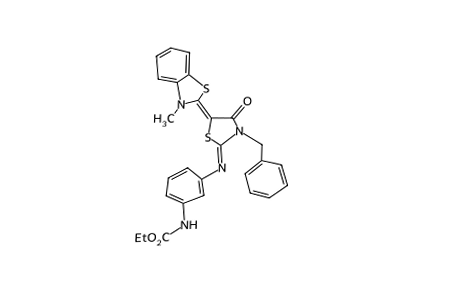 CCOC(=O)Nc1cccc(N=C2SC(=C3Sc4ccccc4N3C)C(=O)N2Cc2ccccc2)c1